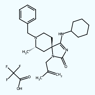 C=C(C)CN1C(=O)N=C(NC2CCCCC2)[C@]12CCN(Cc1ccccc1)[C@@H](C)C2.O=C(O)C(F)(F)F